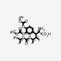 CC(C)OC(=O)Oc1ccc(C(C(C)C(C)OC(=O)OC(C)C(C)C)[C@H](N)C(=O)O)cc1OC(=O)OC(C)C